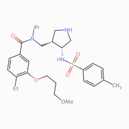 CCc1ccc(C(=O)N(C[C@H]2CNC[C@@H]2NS(=O)(=O)c2ccc(C)cc2)C(C)C)cc1OCCCOC